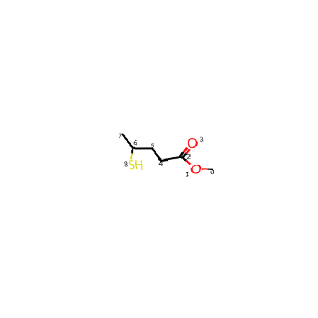 COC(=O)CCC(C)S